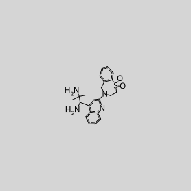 CC(C)(N)C(N)c1cc(N2CCS(=O)(=O)c3ccccc3C2)nc2ccccc12